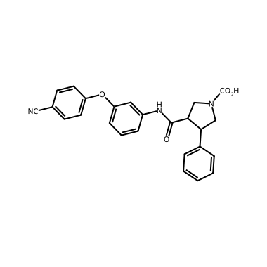 N#Cc1ccc(Oc2cccc(NC(=O)C3CN(C(=O)O)CC3c3ccccc3)c2)cc1